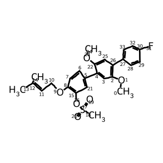 COc1cc(-c2ccc(OCC=C(C)C)c(OS(C)(=O)=O)c2)c(OC)cc1-c1ccc(F)cc1